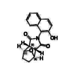 O=C1[C@@H]2[C@H](C(=O)N1c1c(O)ccc3ccccc13)[C@H]1CC[C@@H]2O1